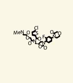 CNCC(=O)OCC(=O)N(C[C@H]1CN(c2ccc(N3CCOCC3=O)cc2F)C(=O)O1)C(=O)c1ccc(Cl)s1